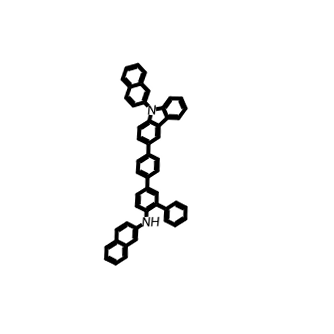 c1ccc(-c2cc(-c3ccc(-c4ccc5c(c4)c4ccccc4n5-c4ccc5ccccc5c4)cc3)ccc2Nc2ccc3ccccc3c2)cc1